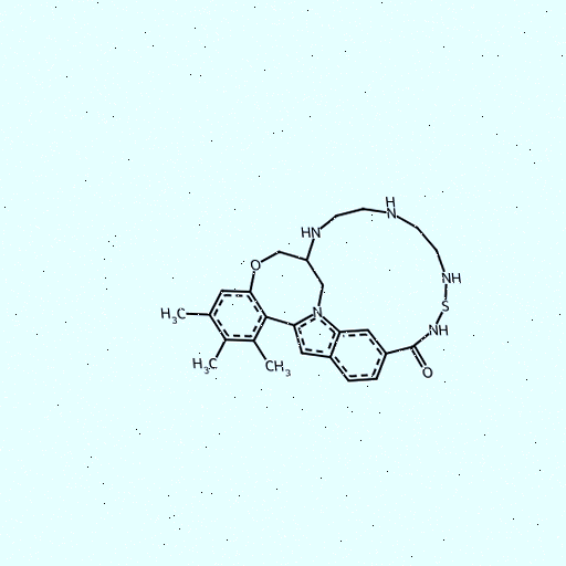 Cc1cc2c(c(C)c1C)-c1cc3ccc4cc3n1CC(CO2)NCCNCCNSNC4=O